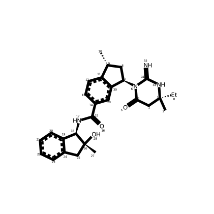 CC[C@]1(C)CC(=O)N([C@@H]2C[C@@H](C)c3ccc(C(=O)N[C@@H]4c5ccccc5C[C@@]4(C)O)cc32)C(=N)N1